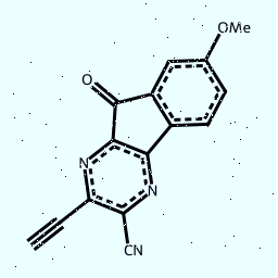 C#Cc1nc2c(nc1C#N)-c1ccc(OC)cc1C2=O